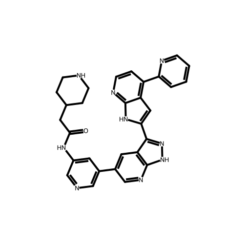 O=C(CC1CCNCC1)Nc1cncc(-c2cnc3[nH]nc(-c4cc5c(-c6ccccn6)ccnc5[nH]4)c3c2)c1